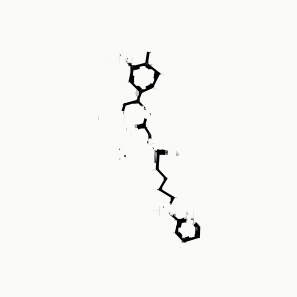 Cc1ccc(C(CC(=O)O)NC(=O)CNC(=O)CCCCNc2ccccn2)cc1[N+](=O)[O-].[Na+]